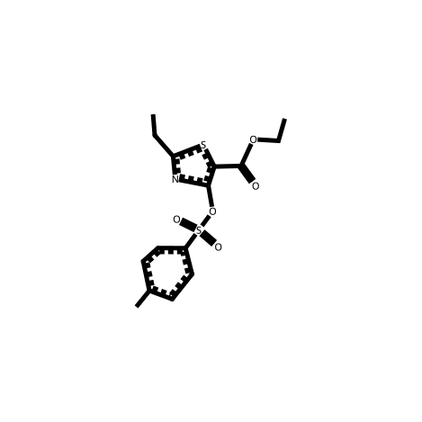 CCOC(=O)c1sc(CC)nc1OS(=O)(=O)c1ccc(C)cc1